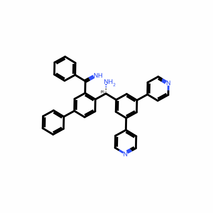 N=C(c1ccccc1)c1cc(-c2ccccc2)ccc1[C@H](N)c1cc(-c2ccncc2)cc(-c2ccncc2)c1